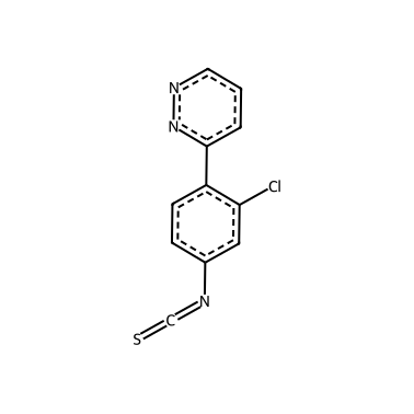 S=C=Nc1ccc(-c2cccnn2)c(Cl)c1